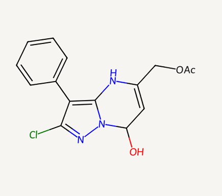 CC(=O)OCC1=CC(O)n2nc(Cl)c(-c3ccccc3)c2N1